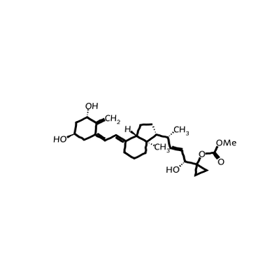 C=C1/C(=C\C=C2/CCC[C@]3(C)[C@@H]([C@H](C)/C=C/[C@@H](O)C4(OC(=O)OC)CC4)CC[C@@H]23)C[C@@H](O)C[C@@H]1O